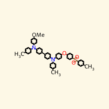 COc1ccc(N(c2ccc(C)cc2)c2ccc(-c3ccc(N(c4ccc(C)cc4)c4ccc(Oc5ccc(S(=O)(=O)c6ccc(C)cc6)cc5)cc4)cc3)cc2)cc1